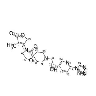 CC1=C(N2CCOC3(CCN(C[C@@H](O)c4ccc(-n5cnnn5)nc4)CC3)C2=O)COC1=O